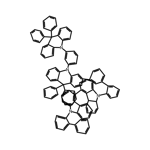 C1=CC2c3c(-c4cccc5c4c4ccccc4n5-c4ccccc4-c4ccccc4)cccc3N(c3ccccc3-c3cccc(-c4ccc5c(c4)N(c4cccc(N6c7ccccc7C(c7ccccc7)(c7ccccc7)c7ccccc76)c4)c4ccccc4C5(c4ccccc4)c4ccccc4)c3)C2C=C1